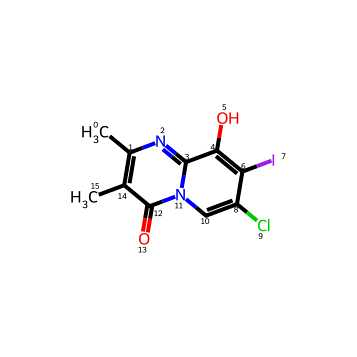 Cc1nc2c(O)c(I)c(Cl)cn2c(=O)c1C